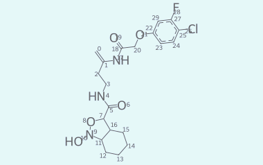 C=C(CCNC(=O)C1ON(O)C2CCCCC12)NC(=O)COc1ccc(Cl)c(F)c1